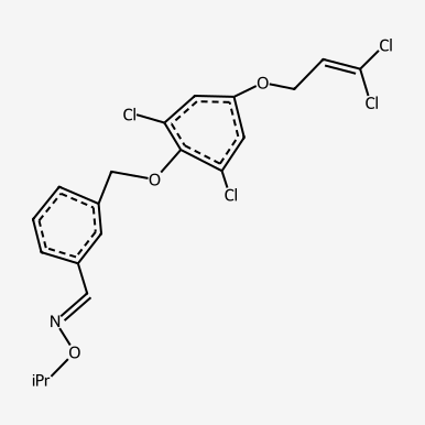 CC(C)ON=Cc1cccc(COc2c(Cl)cc(OCC=C(Cl)Cl)cc2Cl)c1